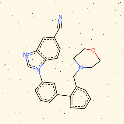 N#Cc1ccc2c(c1)ncn2-c1cccc(-c2ccccc2CN2CCOCC2)c1